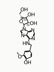 COc1cc(CNc2ncnc3c2ncn3C2O[C@H](CO)[C@@H](O)[C@@H]2O)ccc1O